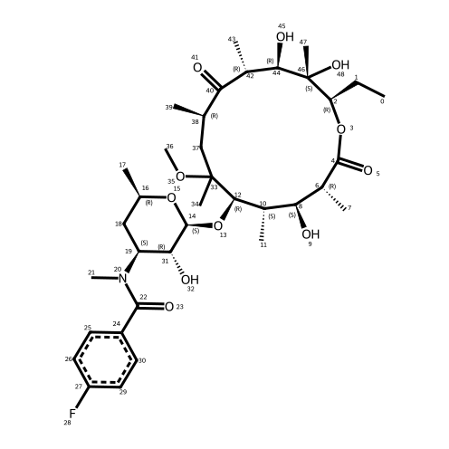 CC[C@H]1OC(=O)[C@H](C)[C@@H](O)[C@H](C)[C@@H](O[C@@H]2O[C@H](C)C[C@H](N(C)C(=O)c3ccc(F)cc3)[C@H]2O)C(C)(OC)C[C@@H](C)C(=O)[C@H](C)[C@@H](O)[C@]1(C)O